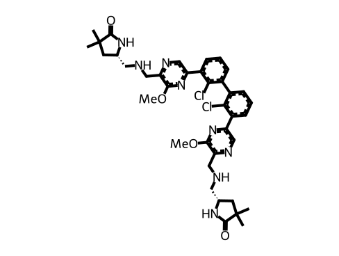 COc1nc(-c2cccc(-c3cccc(-c4cnc(CNC[C@@H]5CC(C)(C)C(=O)N5)c(OC)n4)c3Cl)c2Cl)cnc1CNC[C@@H]1CC(C)(C)C(=O)N1